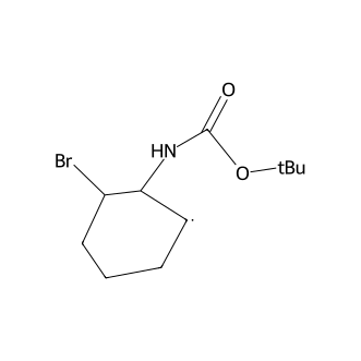 CC(C)(C)OC(=O)NC1[CH]CCCC1Br